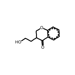 O=C1c2ccccc2OCC1CCO